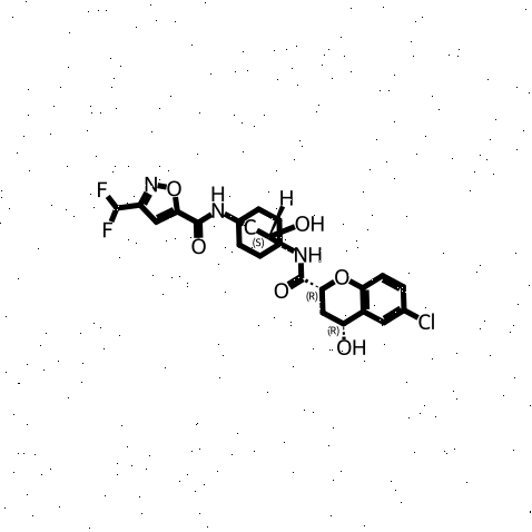 O=C(NC12CCC(NC(=O)[C@H]3C[C@@H](O)c4cc(Cl)ccc4O3)(CC1)[C@@H](O)C2)c1cc(C(F)F)no1